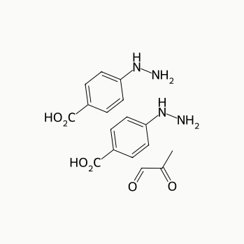 CC(=O)C=O.NNc1ccc(C(=O)O)cc1.NNc1ccc(C(=O)O)cc1